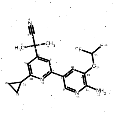 CC(C)(C#N)c1cc(-c2cnc(N)c(OC(F)F)c2)nc(C2CC2)c1